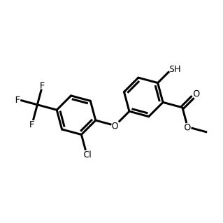 COC(=O)c1cc(Oc2ccc(C(F)(F)F)cc2Cl)ccc1S